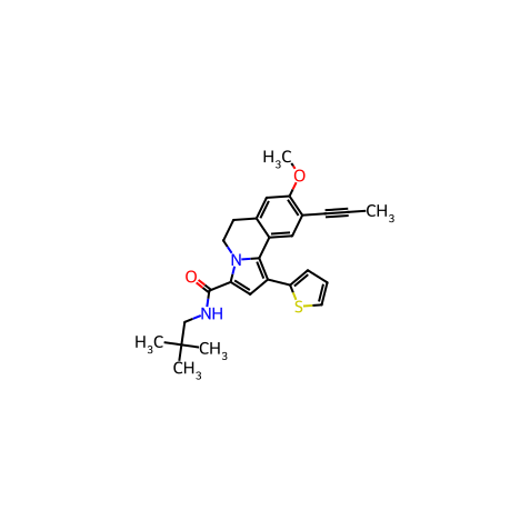 CC#Cc1cc2c(cc1OC)CCn1c(C(=O)NCC(C)(C)C)cc(-c3cccs3)c1-2